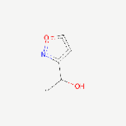 [CH2]C(O)c1ccon1